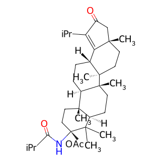 CC(=O)O[C@@]1(NC(=O)C(C)C)CC[C@]2(C)[C@H]3CC[C@@H]4C5=C(C(C)C)C(=O)C[C@]5(C)CC[C@@]4(C)[C@]3(C)CC[C@H]2C1(C)C